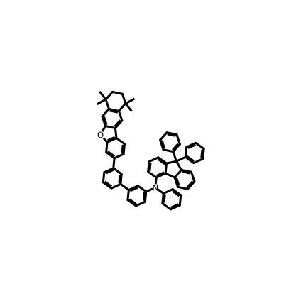 CC1(C)CCC(C)(C)c2cc3c(cc21)oc1cc(-c2cccc(-c4cccc(N(c5ccccc5)c5cccc6c5-c5ccccc5C6(c5ccccc5)c5ccccc5)c4)c2)ccc13